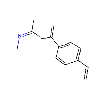 C=Cc1ccc(C(=C)C/C(C)=N\C)cc1